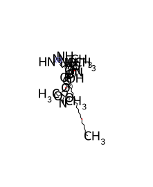 CCCCCCCCCCCCCCCCCCC[C@H](COP(=O)(O)OC[C@@]1(C#N)O[C@@H](c2ccc(/C(N)=N\C=N)[nH]2)[C@@H]2OC(C)(C)O[C@@H]21)Oc1cc(OC)c(C#N)c(OC)c1